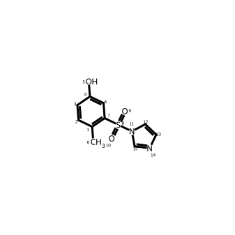 Cc1ccc(O)cc1S(=O)(=O)n1ccnc1